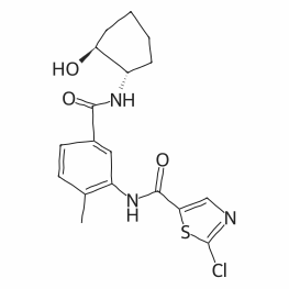 Cc1ccc(C(=O)N[C@H]2CCCC[C@@H]2O)cc1NC(=O)c1cnc(Cl)s1